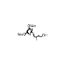 COc1cc(OC)nc(SCC(C)CCO)n1